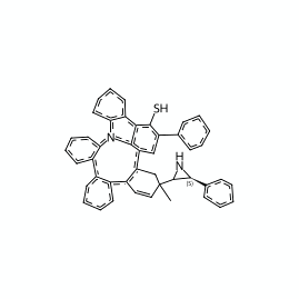 CC1(C2N[C@H]2c2ccccc2)C=Cc2c(c3cc(-c4ccccc4)c(S)c4c5ccccc5n(c5ccccc5c5ccccc25)c34)C1